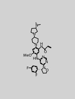 C=CC(=O)Nc1cc(Nc2cc(N3OCC[C@@H]3c3ccc(F)cc3F)ncn2)c(OC)cc1N1CCC(N2CC[C@@H](N(C)C)C2)CC1